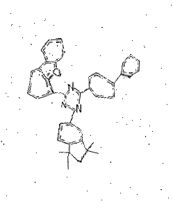 CC1(C)CC(C)(C)c2cc(-c3nc(-c4ccc(-c5ccccc5)cc4)nc(-c4cccc5c4oc4ccccc45)n3)ccc21